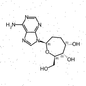 Nc1ncnc2c1ncn2[C@H]1CC[C@H](O)[C@H](O)[C@@H](CO)O1